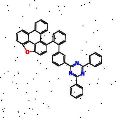 c1ccc(-c2nc(-c3ccccc3)nc(-c3cccc(-c4ccccc4-c4ccc5oc6cccc7c8ccccc8c4c5c67)c3)n2)cc1